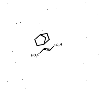 C1CC2CCC1C2.O=C(O)/C=C/C(=O)O